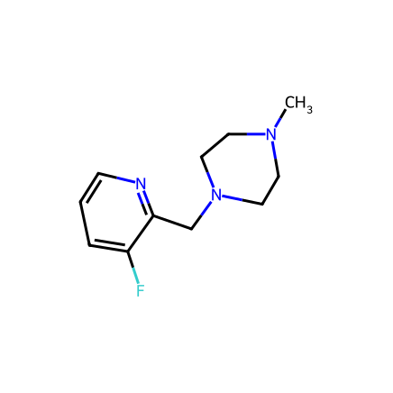 CN1CCN(Cc2ncccc2F)CC1